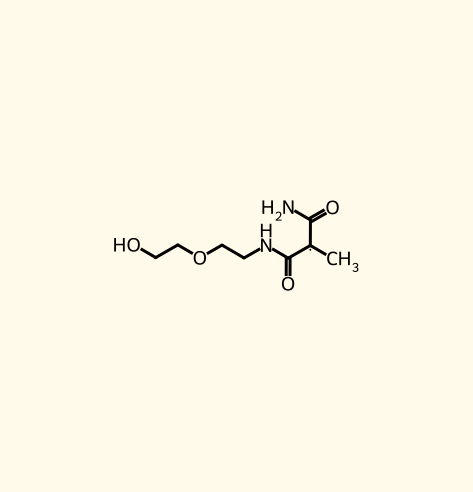 C[C](C(N)=O)C(=O)NCCOCCO